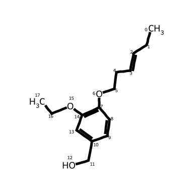 CCC=CCCOc1ccc(CO)cc1OCC